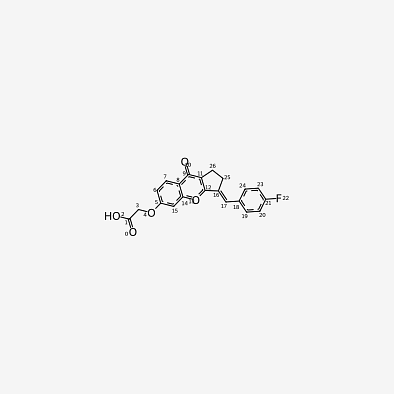 O=C(O)COc1ccc2c(=O)c3c(oc2c1)C(=Cc1ccc(F)cc1)CC3